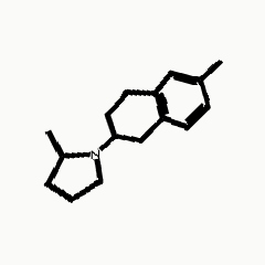 Cc1ccc2c(c1)CCC(N1CCCC1C)C2